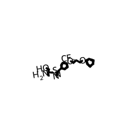 CC(N)(CO)c1nnc(-c2ccc(OCCCOc3ccccc3)c(C(F)(F)F)c2)s1